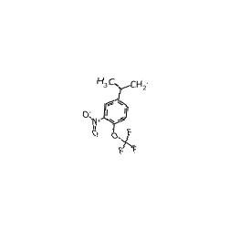 [CH2]C(C)c1ccc(OC(F)(F)F)c([N+](=O)[O-])c1